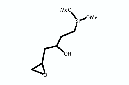 CO[SiH](CCC(O)CC1CO1)OC